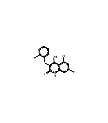 O=c1[nH]c2cc(Cl)cc(Cl)c2c(O)c1Sc1ccccc1Cl